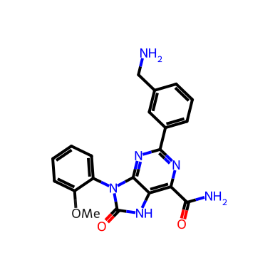 COc1ccccc1-n1c(=O)[nH]c2c(C(N)=O)nc(-c3cccc(CN)c3)nc21